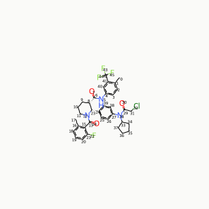 Cc1ccc(NC(=O)[C@H]2CCCN(C(=O)c3c(C)cccc3F)[C@H]2c2ccc(N(C(=O)CCl)C3CCCC3)cc2)cc1C(F)(F)F